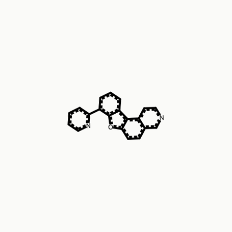 c1ccc(-c2cccc3c2oc2ccc4cnccc4c23)nc1